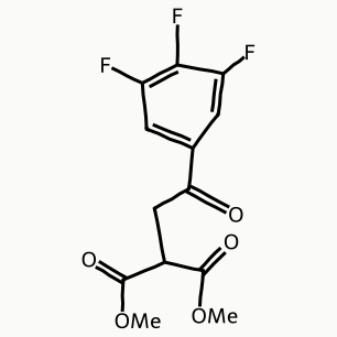 COC(=O)C(CC(=O)c1cc(F)c(F)c(F)c1)C(=O)OC